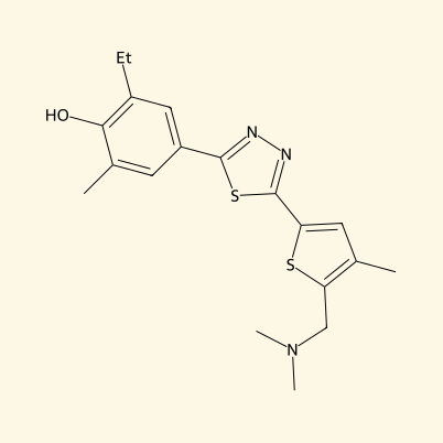 CCc1cc(-c2nnc(-c3cc(C)c(CN(C)C)s3)s2)cc(C)c1O